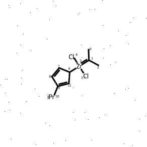 C[C](C)=[Zr]([Cl])([Cl])[CH]1C=CC(C(C)C)=C1